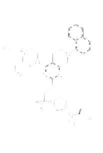 Cc1cccc2cccc(N3CCc4c(nc(OCC5(N6CC[C@H](N(C)C(=O)OC(C)(C)C)C6)CC5)nc4N4CCN(C(=O)O)[C@@H](CC#N)C4)C3)c12